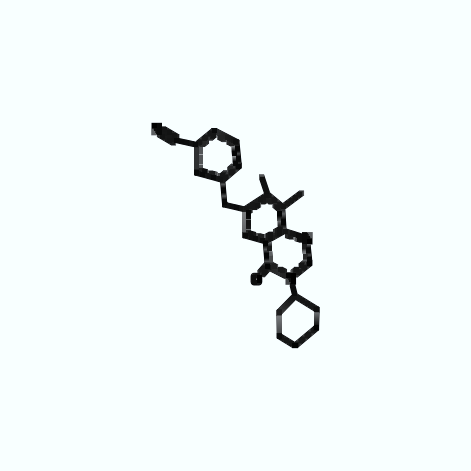 Cc1c(Cc2cccc(C#N)c2)cc2c(=O)n(C3CCCCC3)cnc2c1C